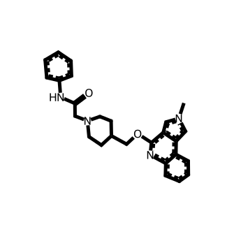 Cn1cc2c(OCC3CCN(CC(=O)Nc4ccccc4)CC3)nc3ccccc3c2c1